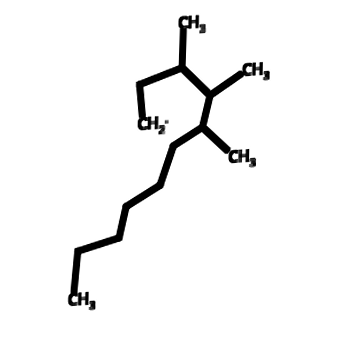 [CH2]CC(C)C(C)C(C)CCCCCC